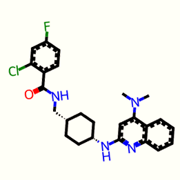 CN(C)c1cc(N[C@H]2CC[C@@H](CNC(=O)c3ccc(F)cc3Cl)CC2)nc2ccccc12